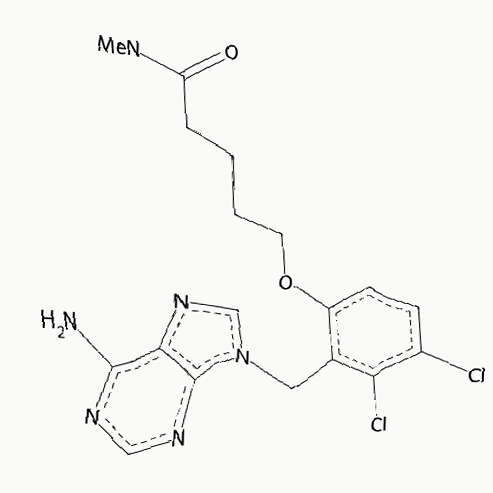 CNC(=O)CCCCOc1ccc(Cl)c(Cl)c1Cn1cnc2c(N)ncnc21